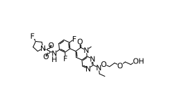 CCN(OCCOCCO)c1ncc2cc(-c3c(F)ccc(NS(=O)(=O)N4CC[C@@H](F)C4)c3F)c(=O)n(C)c2n1